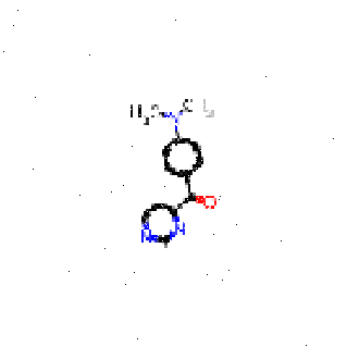 CN(C)c1ccc(C(=O)c2ccn[c]n2)cc1